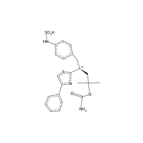 CC(C)(C[C@H](Cc1ccc(NS(=O)(=O)O)cc1)c1nc(-c2ccccc2)cs1)OC(N)=O